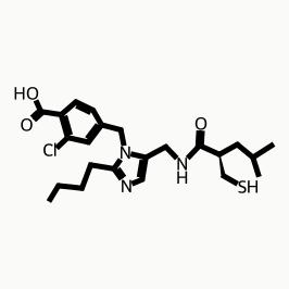 CCCCc1ncc(CNC(=O)[C@H](CS)CC(C)C)n1Cc1ccc(C(=O)O)c(Cl)c1